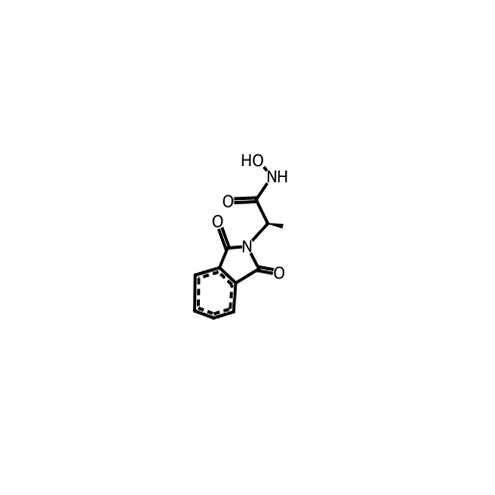 C[C@H](C(=O)NO)N1C(=O)c2ccccc2C1=O